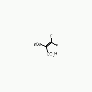 CCCCC(C(=O)O)=C(F)F